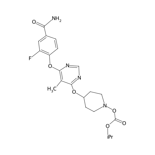 Cc1c(Oc2ccc(C(N)=O)cc2F)ncnc1OC1CCN(OC(=O)OC(C)C)CC1